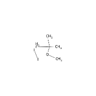 COC(C)(C)C.II